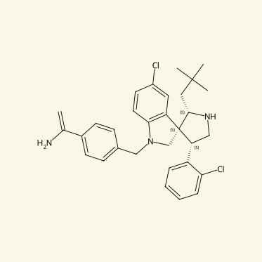 C=C(N)c1ccc(CN2C[C@]3(c4cc(Cl)ccc42)[C@H](CC(C)(C)C)NC[C@@H]3c2ccccc2Cl)cc1